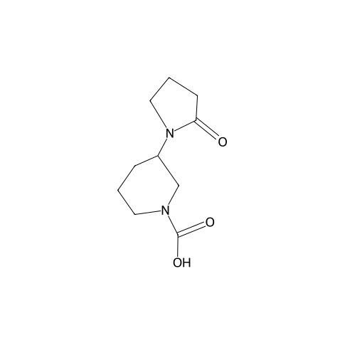 O=C(O)N1CCCC(N2CCCC2=O)C1